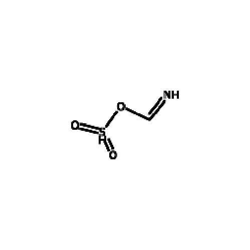 N=CO[SH](=O)=O